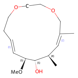 CO[C@H]1/C=C/CCOCCOC/C(C)=C\[C@@H](C)[C@@H]1O